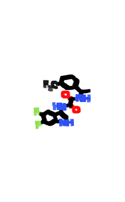 CC(NC(=O)C(=O)Nc1c[nH]c2cc(F)c(F)cc12)c1cccc(C(F)(F)F)c1